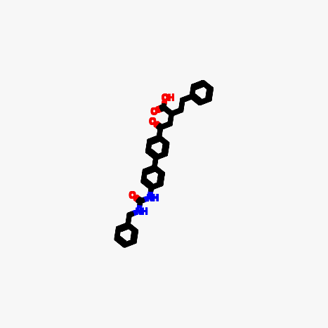 O=C(NCc1ccccc1)Nc1ccc(-c2ccc(C(=O)CC(CCc3ccccc3)C(=O)O)cc2)cc1